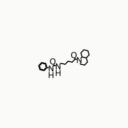 O=C(NCCCCC(=O)N1CCCC2CCCCC21)Nc1ccccc1